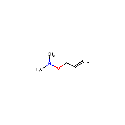 C=CCON(C)C